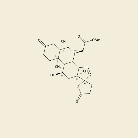 COC(=O)C[C@@H]1C[C@]2(C#N)CC(=O)CC[C@]2(C)C2C1C1CC[C@@]3(CCC(=O)O3)[C@@]1(C)C[C@H]2O